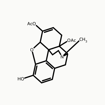 CC(=O)OC1=CCC2(OC(C)=O)C3Cc4ccc(O)c5c4C2(CCN3C)C1O5